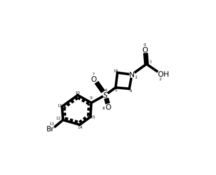 O=C(O)N1CC(S(=O)(=O)c2ccc(Br)cc2)C1